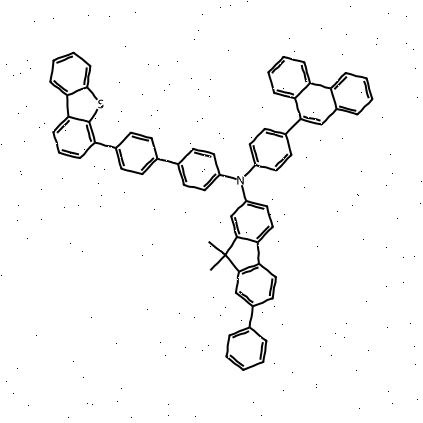 CC1(C)c2cc(-c3ccccc3)ccc2-c2ccc(N(c3ccc(-c4ccc(-c5cccc6c5sc5ccccc56)cc4)cc3)c3ccc(-c4cc5ccccc5c5ccccc45)cc3)cc21